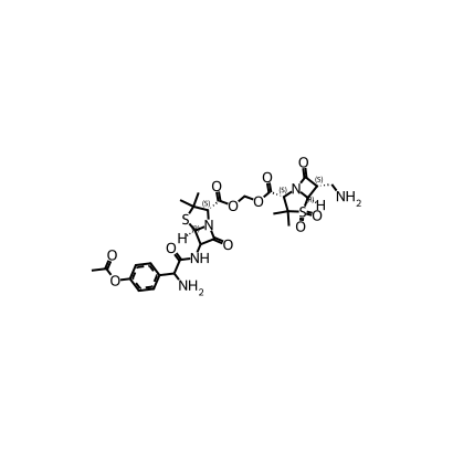 CC(=O)Oc1ccc(C(N)C(=O)NC2C(=O)N3[C@@H]2SC(C)(C)[C@@H]3C(=O)OCOC(=O)[C@@H]2N3C(=O)[C@H](CN)[C@H]3S(=O)(=O)C2(C)C)cc1